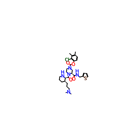 Cc1ccc(OC(=O)N2CCN(C(=O)[C@@H]3NCCC[C@@H]3CCCN(C)C)[C@H](C(=O)NCc3cccs3)C2)c(Cl)c1C